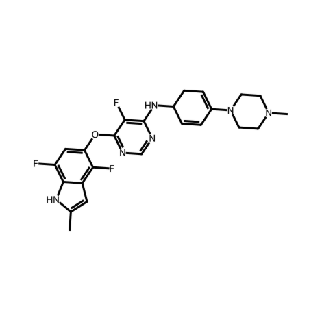 Cc1cc2c(F)c(Oc3ncnc(NC4C=CC(N5CCN(C)CC5)=CC4)c3F)cc(F)c2[nH]1